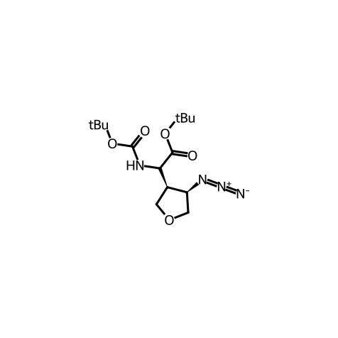 CC(C)(C)OC(=O)NC(C(=O)OC(C)(C)C)[C@@H]1COC[C@@H]1N=[N+]=[N-]